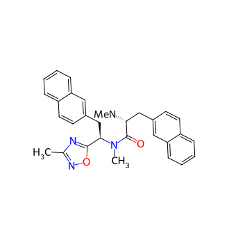 CN[C@H](Cc1ccc2ccccc2c1)C(=O)N(C)[C@H](Cc1ccc2ccccc2c1)c1nc(C)no1